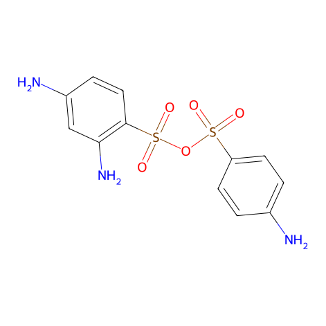 Nc1ccc(S(=O)(=O)OS(=O)(=O)c2ccc(N)cc2N)cc1